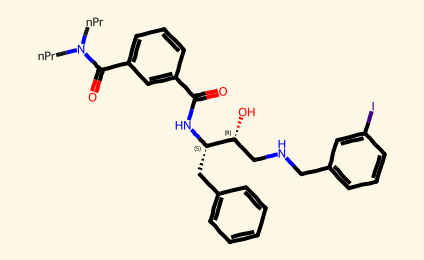 CCCN(CCC)C(=O)c1cccc(C(=O)N[C@@H](Cc2ccccc2)[C@H](O)CNCc2cccc(I)c2)c1